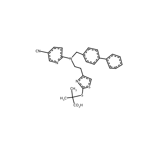 [C-]#[N+]c1ccc(N(CCc2csc(SC(C)(C)C(=O)O)n2)Cc2ccc(-c3ccccc3)cc2)nc1